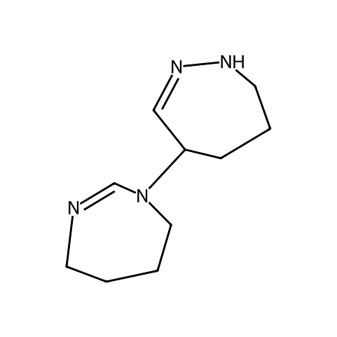 C1=NCCCCN1C1C=NNCCC1